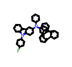 Fc1ccc(-n2c3ccccc3c3cc(N(c4ccccc4)c4ccc5c(c4)-c4c6cccc4-c4cccc-5c4-c4ccccc4-6)ccc32)cc1